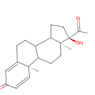 CC(=O)[C@@]1(O)CCC2C3CCC4=CC(=O)C=C[C@]4(C)C3CC[C@@]21C